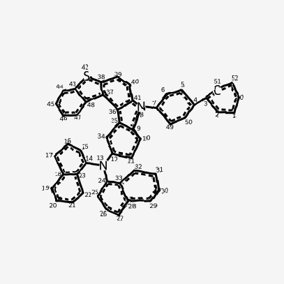 c1ccc(-c2ccc(-n3c4ccc(N(c5cccc6ccccc56)c5cccc6ccccc56)cc4c4c5c(ccc43)sc3ccccc35)cc2)cc1